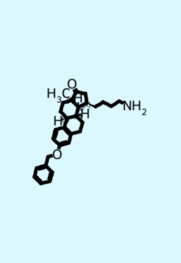 C[C@]12CC[C@@H]3c4ccc(OCc5ccccc5)cc4CC[C@H]3[C@@H]1[C@H](CCCCN)CC2=O